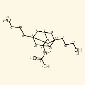 CC(=O)NC12CC3CC(CCCO)(CC(CCCO)(C3)C1)C2